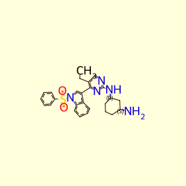 CCc1cnc(N[C@@H]2CCC[C@H](N)C2)nc1-c1cn(S(=O)(=O)c2ccccc2)c2ccccc12